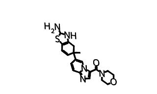 CC1(c2ccc3ncc(C(=O)N4CCOCC4)n3c2)C=CC2=C(C1)NC(N)S2